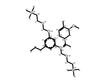 C=C(C)[C@@H]1C[C@H](OC)C(C)=C[C@H]1c1c(OCOCC[Si](C)(C)C)cc(CCC)cc1OCOCC[Si](C)(C)C